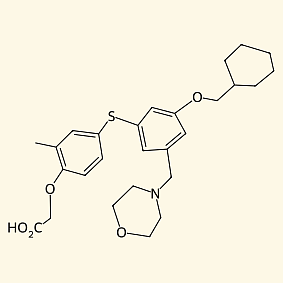 Cc1cc(Sc2cc(CN3CCOCC3)cc(OCC3CCCCC3)c2)ccc1OCC(=O)O